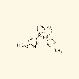 COc1ccc(C(=O)N[C@]2(c3ccc(C)cc3)CCOc3cccnc32)nn1